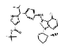 CC(C)C(c1ccc(Nc2nn([C@H]3CCCC[C@@H]3C#N)c3cc[nH]c(=O)c23)cc1)n1cc(C(=O)OC(C)(C)C)nn1